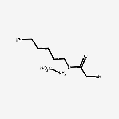 CC(C)CCCCCOC(=O)CS.NC(=O)O